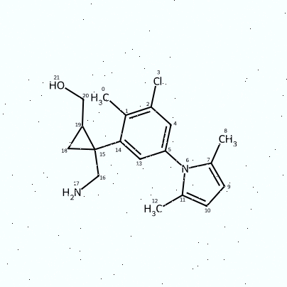 Cc1c(Cl)cc(-n2c(C)ccc2C)cc1C1(CN)CC1CO